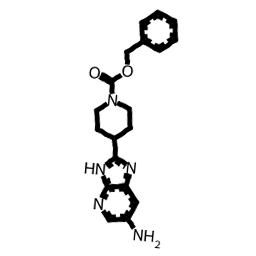 Nc1cnc2[nH]c(C3CCN(C(=O)OCc4ccccc4)CC3)nc2c1